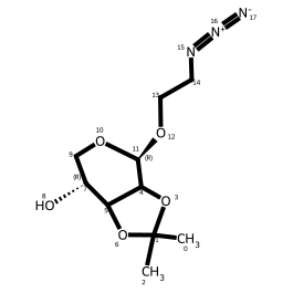 CC1(C)OC2C(O1)[C@H](O)CO[C@H]2OCCN=[N+]=[N-]